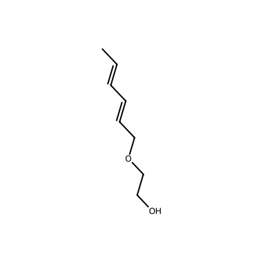 CC=CC=CCOCCO